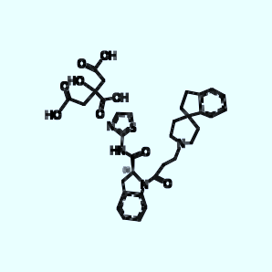 O=C(Nc1nccs1)[C@@H]1Cc2ccccc2N1C(=O)CCN1CCC2(CCc3ccccc32)CC1.O=C(O)CC(O)(CC(=O)O)C(=O)O